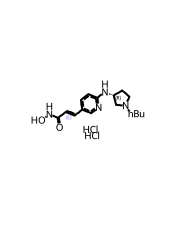 CCCCN1CC[C@@H](Nc2ccc(/C=C/C(=O)NO)cn2)C1.Cl.Cl